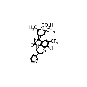 C[C@@H]1CN(c2nc(=O)n3c4c(c(Cl)c(C(F)(F)F)cc24)SC[C@@H](c2cccnc2)C3)C[C@H](C)N1C(=O)O